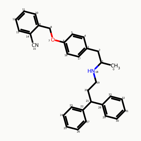 CC(Cc1ccc(OCc2ccccc2C#N)cc1)NCCC(c1ccccc1)c1ccccc1